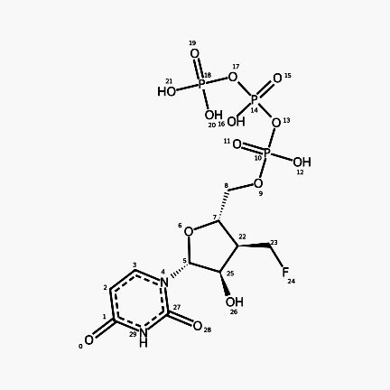 O=c1ccn([C@@H]2O[C@H](COP(=O)(O)OP(=O)(O)OP(=O)(O)O)[C@@H](CF)[C@H]2O)c(=O)[nH]1